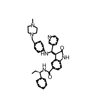 CC[C@@H](NC(=O)c1ccc2c(c1)C(=C(Nc1ccc(CN3CCN(C)CC3)cc1)c1cccnc1)C(=O)N2)c1ccccc1